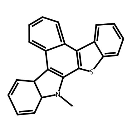 CN1c2c(c3ccccc3c3c2sc2ccccc23)C2C=CC=CC21